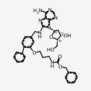 Nc1ncnc2c1nc(NCc1ccc(-c3ccccc3)c(OCCCNC(=O)OCc3ccccc3)c1)n2[C@H]1C[C@H](O)[C@@H](CO)O1